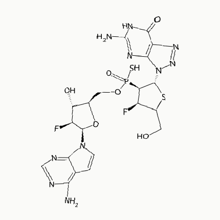 Nc1nc2c(nnn2[C@@H]2SC(CO)[C@@H](F)[C@H]2P(=O)(S)OC[C@H]2O[C@@H](n3ccc4c(N)ncnc43)[C@@H](F)[C@@H]2O)c(=O)[nH]1